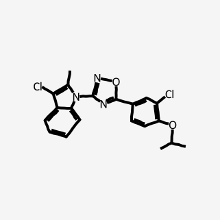 Cc1c(Cl)c2ccccc2n1-c1noc(-c2ccc(OC(C)C)c(Cl)c2)n1